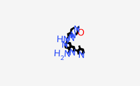 Cc1ccncc1-c1cc2cc(Nc3cc4n(n3)CC(=O)N(C)CC4)ncc2c(N)n1